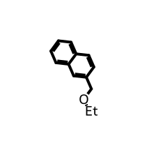 [CH2]COCc1ccc2ccccc2c1